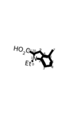 CCN1c2cccc(C)c2CC1C(=O)O